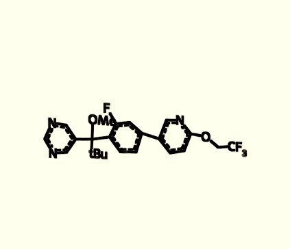 COC(c1cncnc1)(c1ccc(-c2ccc(OCC(F)(F)F)nc2)cc1F)C(C)(C)C